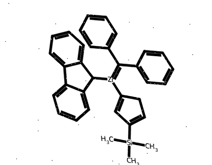 C[Si](C)(C)C1=CC[C]([Zr](=[C](c2ccccc2)c2ccccc2)[CH]2c3ccccc3-c3ccccc32)=C1